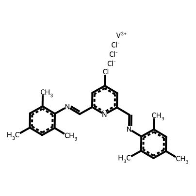 Cc1cc(C)c(N=Cc2cc(Cl)cc(C=Nc3c(C)cc(C)cc3C)n2)c(C)c1.[Cl-].[Cl-].[Cl-].[V+3]